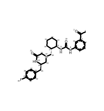 CC(=O)c1cccc(NC(=O)N[C@@H]2CCCC[C@H]2CN2CC(=O)N[C@H](Cc3ccc(F)cc3)C2)c1